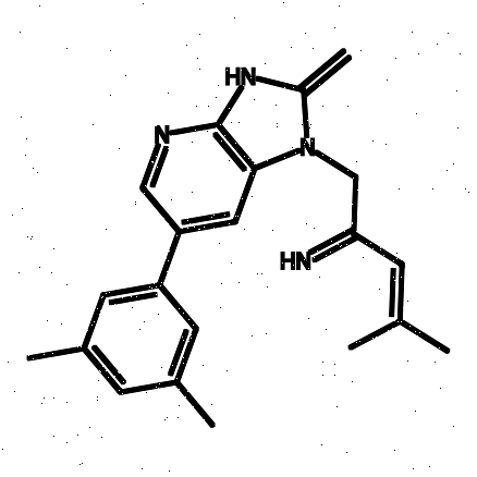 C=C1Nc2ncc(-c3cc(C)cc(C)c3)cc2N1CC(=N)C=C(C)C